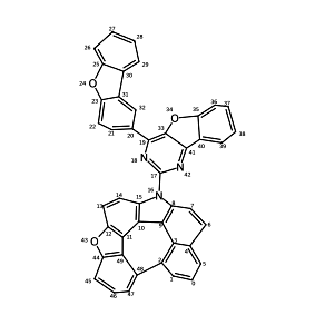 c1cc2c3c(c1)ccc1c3c3c4c(ccc3n1-c1nc(-c3ccc5oc6ccccc6c5c3)c3oc5ccccc5c3n1)oc1cccc-2c14